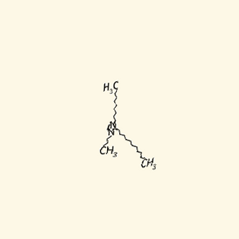 CCCCCCCCCCCCc1n(CCCCCCCCCC)cc[n+]1CCCCC